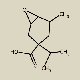 CC1CC(C(=O)O)(C(C)C)CC2OC12